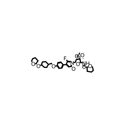 C[C@@](CCn1cc(F)c(-c2ccc(OCC3CCC(OC4CCCCO4)CC3)cc2)cc1=O)(C(=O)NOC1CCCCO1)S(C)(=O)=O